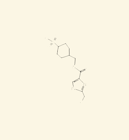 CCc1nc(C(=O)NCC2CCC(S(C)(=O)=O)CC2)c[nH]1